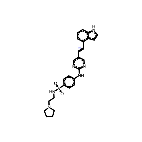 O=S(=O)(NCCN1CCCC1)c1ccc(Nc2ncc(/C=C/c3cccc4[nH]ccc34)cn2)cc1